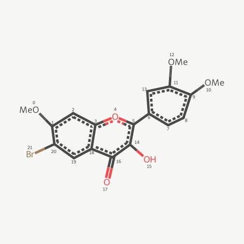 COc1cc2oc(-c3ccc(OC)c(OC)c3)c(O)c(=O)c2cc1Br